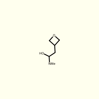 CNC(O)CC1COC1